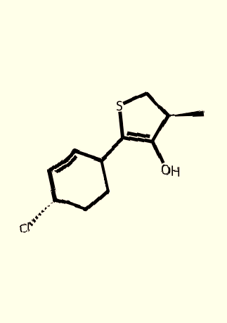 C[C@@H]1CSC(C2C=C[C@@H](Cl)CC2)=C1O